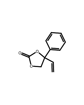 C=CC1(c2ccccc2)COC(=O)O1